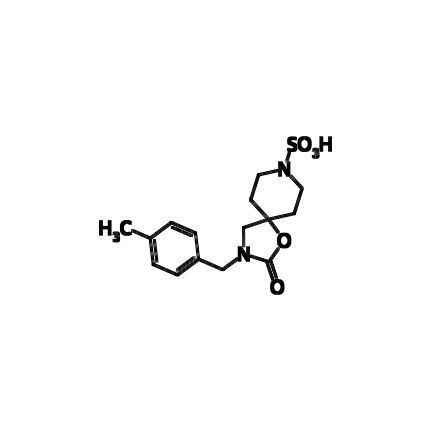 Cc1ccc(CN2CC3(CCN(S(=O)(=O)O)CC3)OC2=O)cc1